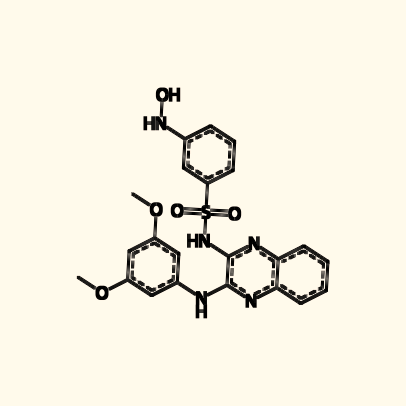 COc1cc(Nc2nc3ccccc3nc2NS(=O)(=O)c2cccc(NO)c2)cc(OC)c1